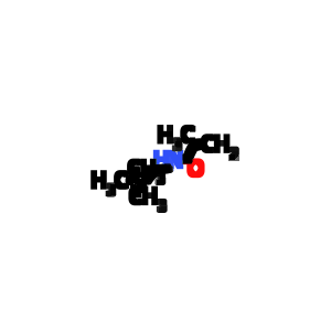 C=C(C)C(=O)NCCC[Si](C)(C)C